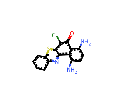 Nc1ccc(N)c2c(=O)c(Cl)c3sc4ccccc4nc-3c12